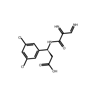 N=CC(=N)C(=O)N[C@@H](CC(=O)O)c1cc(Cl)cc(Cl)c1